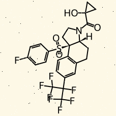 O=C(N1CC[C@@]2(S(=O)(=O)c3ccc(F)cc3)c3ccc(C(F)(C(F)(F)F)C(F)(F)F)cc3CC[C@@H]12)C1(O)CC1